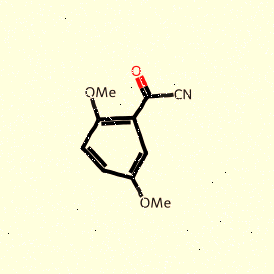 COc1ccc(OC)c(C(=O)C#N)c1